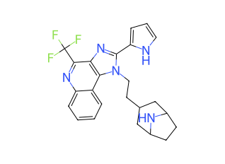 FC(F)(F)c1nc2ccccc2c2c1nc(-c1ccc[nH]1)n2CCC1CC2CCC(C1)N2